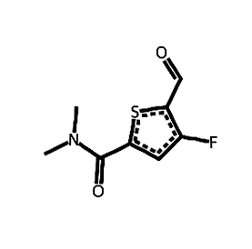 CN(C)C(=O)c1cc(F)c(C=O)s1